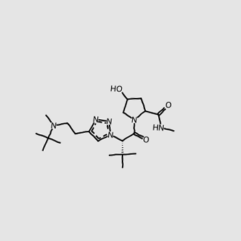 CNC(=O)C1CC(O)CN1C(=O)[C@@H](n1cc(CCN(C)C(C)(C)C)nn1)C(C)(C)C